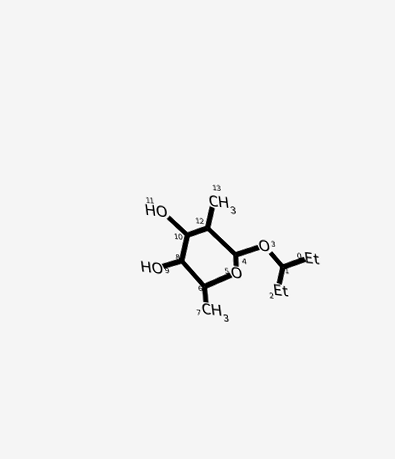 CCC(CC)OC1OC(C)C(O)C(O)C1C